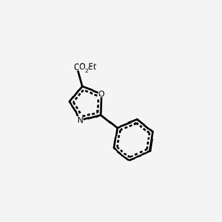 CCOC(=O)c1cnc(-c2ccccc2)o1